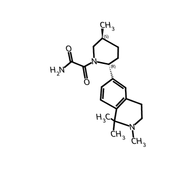 C[C@H]1CC[C@H](c2ccc3c(c2)CCN(C)C3(C)C)N(C(=O)C(N)=O)C1